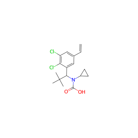 C=Cc1cc(Cl)c(Cl)c(C(N(C(=O)O)C2CC2)C(C)(C)C)c1